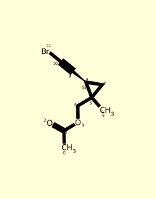 CC(=O)OCC1(C)C[C@@H]1C#CBr